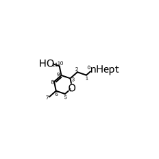 CCCCCCCCCC1OCC(C)C=C1CO